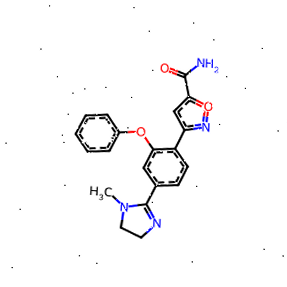 CN1CCN=C1c1ccc(-c2cc(C(N)=O)on2)c(Oc2ccccc2)c1